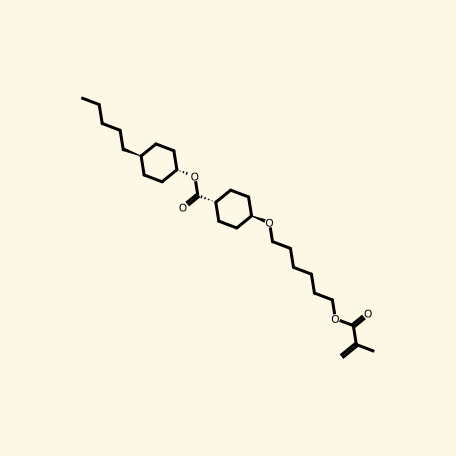 C=C(C)C(=O)OCCCCCCO[C@H]1CC[C@H](C(=O)O[C@H]2CC[C@H](CCCCC)CC2)CC1